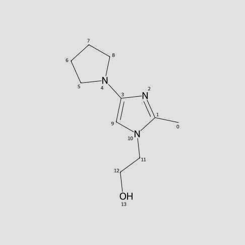 Cc1nc(N2CCCC2)cn1CCO